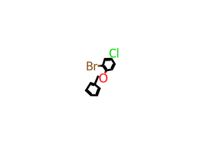 Clc1ccc(OCc2ccccc2)c(Br)c1